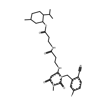 CC1CCC(C(C)C)C(OC(=O)CCNC(=O)CCNc2cc(=O)n(C)c(=O)n2Cc2cc(F)ccc2C#N)C1